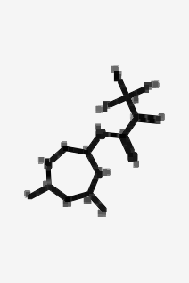 C=C(C(=O)OC1CSC(C)CC(C)S1)C(F)(F)F